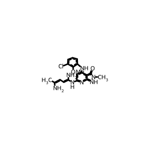 COc1c(Cl)cccc1Nc1cc(N/C(N)=C/C=C(/C)N)nc2[nH]n(C)c(=O)c12